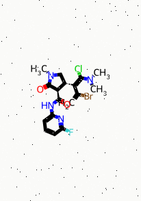 C=C(Br)/C(=C(/Cl)N(C)C)[C@H]1CN(C)C(=O)[C@@H]1C(=O)Nc1cccc(F)n1